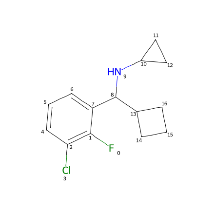 Fc1c(Cl)cccc1C(NC1CC1)C1CCC1